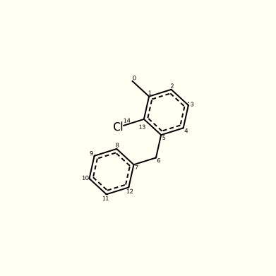 Cc1c[c]cc(Cc2ccccc2)c1Cl